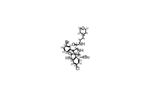 CC(C)(C)C[C@H]1N[C@@H](C(=O)NCCN2CCOCC2)[C@H](c2cccc(Br)c2)[C@@]12C(=O)Nc1cc(Cl)ccc12